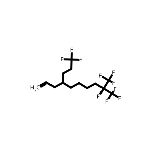 C=CCC(CCCCC(F)(C(F)(F)F)C(F)(F)F)CCC(F)(F)F